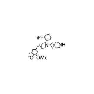 COc1cc(CN2CCN(C3CC4(CCNCC4)C3)C(c3ccccc3C(C)C)C2)cc2c1OCC2